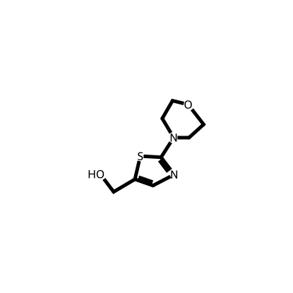 OCc1cnc(N2CCOCC2)s1